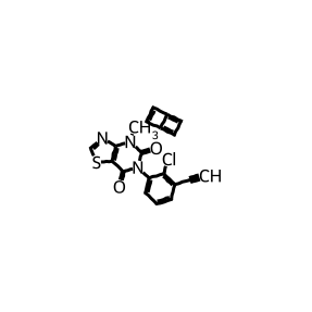 C#Cc1cccc(-n2c(=O)c3scnc3n(C)c2=O)c1Cl.c1cc2ccc1-2